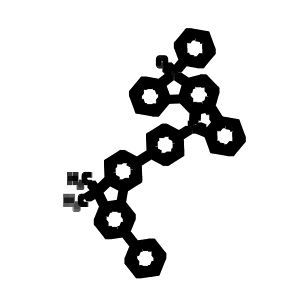 CC1(C)c2ccc(-c3ccccc3)cc2-c2cc(-c3ccc(-n4c5ccccc5c5ccc6c(c54)-c4ccccc4P6(=O)c4ccccc4)cc3)ccc21